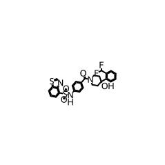 O=C(c1ccc(NS(=O)(=O)c2cccc3scnc23)cc1)N1CCC(O)(c2ccccc2C(F)F)CC1